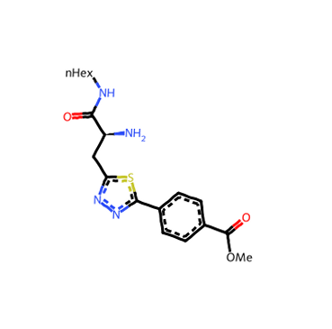 CCCCCCNC(=O)[C@@H](N)Cc1nnc(-c2ccc(C(=O)OC)cc2)s1